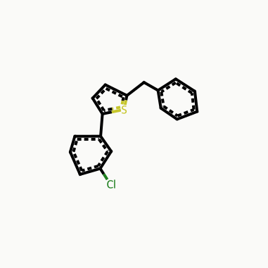 Clc1cccc(-c2ccc(Cc3ccccc3)s2)c1